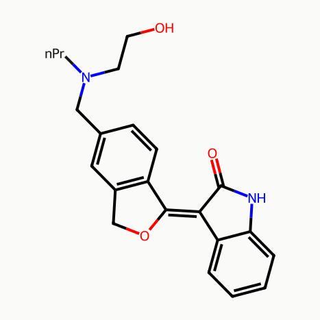 CCCN(CCO)Cc1ccc2c(c1)COC2=C1C(=O)Nc2ccccc21